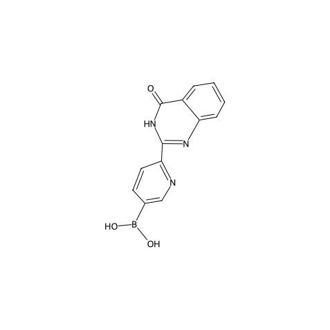 O=c1[nH]c(-c2ccc(B(O)O)cn2)nc2ccccc12